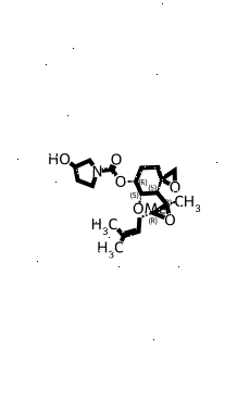 CO[C@@H]1[C@H](OC(=O)N2CCC(O)C2)CCC2(CO2)[C@H]1[C@@]1(C)O[C@@H]1CC=C(C)C